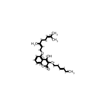 CC/C=C/CCOc1c(O)c2c(OC/C=C(\C)CCC=C(C)C)cccc2oc1=O